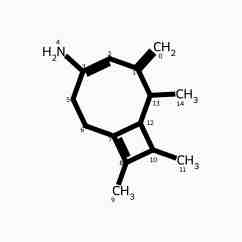 C=C1/C=C(/N)CCC2=C(C)C(C)C2C1C